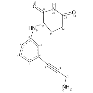 NCC#Cc1cccc(N[C@H]2CCC(=O)NC2=O)c1